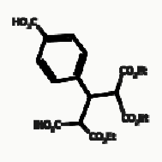 CCOC(=O)C(C(=O)OCC)C(c1ccc(C(=O)O)cc1)C(C(=O)OCC)C(=O)OCC